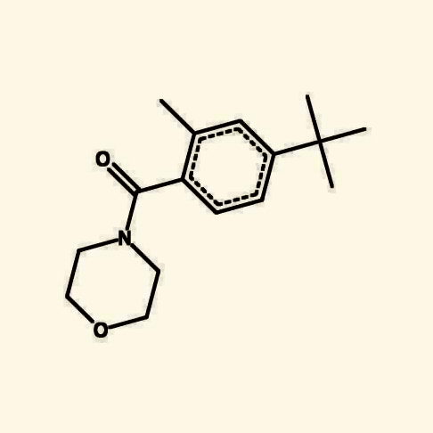 Cc1cc(C(C)(C)C)ccc1C(=O)N1CCOCC1